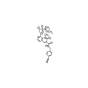 CON(C)S(=O)(=O)C1(COc2nccc3cc(C(=O)NCc4ccc(C#N)cc4)c(=O)n(C)c23)CC1